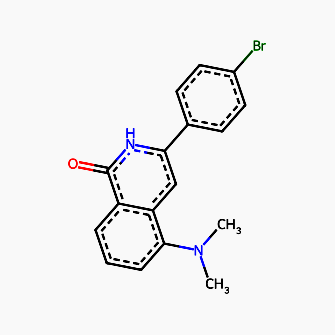 CN(C)c1cccc2c(=O)[nH]c(-c3ccc(Br)cc3)cc12